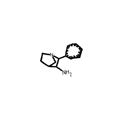 NC1C2CCN(C2)C1c1ccccc1